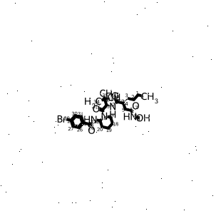 CCCC[C@H](CC(=O)NO)C(=O)N[C@H](C(=O)N1CCCCC1NC(=O)c1ccc(Br)cc1)C(C)(C)C